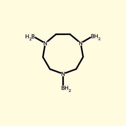 BN1CCN(B)CCN(B)CC1